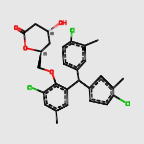 Cc1cc(Cl)c(OC[C@@H]2C[C@@H](O)CC(=O)O2)c(C(c2ccc(Cl)c(C)c2)c2ccc(Cl)c(C)c2)c1